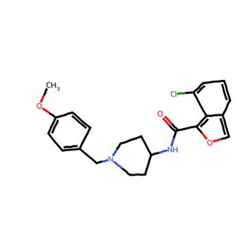 COc1ccc(CN2CCC(NC(=O)c3occ4cccc(Cl)c34)CC2)cc1